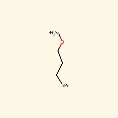 CCCCCCO[SiH2]